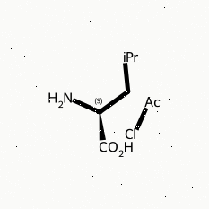 CC(=O)Cl.CC(C)C[C@H](N)C(=O)O